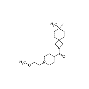 COCCN1CCC(C(=O)N2CC3(CCC(C)(I)CC3)C2)CC1